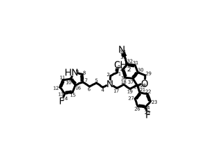 C=CCN(CCCc1c[nH]c2ccc(F)cc12)CCCC1(c2ccc(F)cc2)OCc2cc(C#N)ccc21